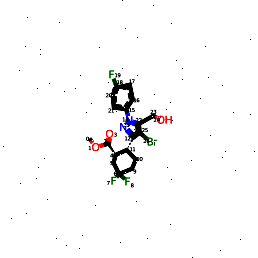 COC(=O)[C@@H]1CC(F)(F)CC[C@H]1c1nn(-c2ccc(F)cc2)c(CO)c1Br